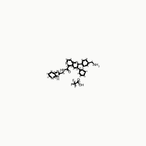 NCc1ccc(-c2nc3ccnc(C(=O)NCc4nc5cccnc5[nH]4)c3cc2-c2ccccc2)cc1.O=C(O)C(F)(F)F